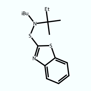 CCC(C)N(Sc1nc2ccccc2s1)C(C)(C)CC